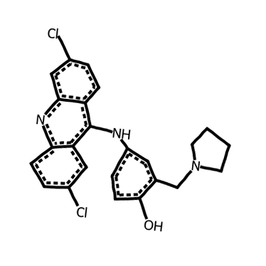 Oc1ccc(Nc2c3ccc(Cl)cc3nc3ccc(Cl)cc23)cc1CN1CCCC1